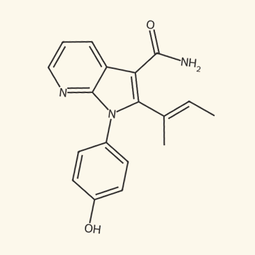 CC=C(C)c1c(C(N)=O)c2cccnc2n1-c1ccc(O)cc1